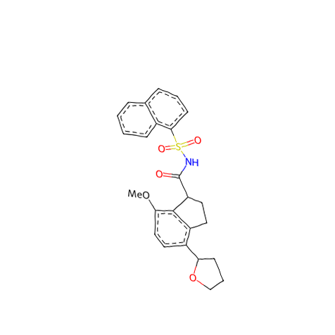 COc1ccc(C2CCCO2)c2c1C(C(=O)NS(=O)(=O)c1cccc3ccccc13)CC2